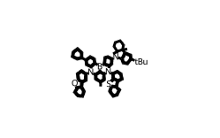 Cc1cc2c3c(c1)N(c1cccc4c1sc1ccccc14)c1cc(N4c5ccc(C(C)(C)C)cc5C5(C)CCCCC45C)ccc1B3c1ccc(-c3ccccc3)cc1N2c1ccc2oc3ccccc3c2c1